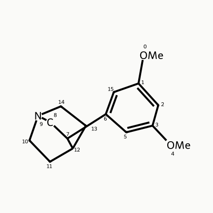 COc1cc(OC)cc(C2CN3CCC2CC3)c1